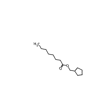 CCCCCCCC(=O)OCC1CCCC1